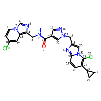 O=C(NCc1ncn2ccc(Cl)cc12)c1cnn(Cc2cn3c(Cl)c(C4CC4)ccc3n2)c1